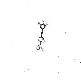 CCCC1CCC(C#Cc2cc(F)c(F)c(F)c2)=CO1